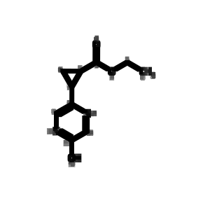 CCOC(=O)C1CC1c1cnc(O)cn1